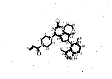 C=CC(=O)N1CCN(c2nc(=O)n3c4c2=CC(c2c(C)ccc5[nH]nc(C)c25)C=4OCC3)CC1